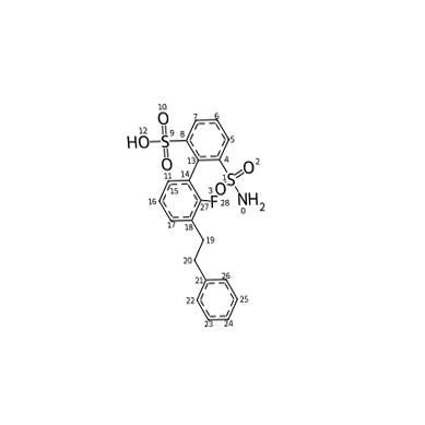 NS(=O)(=O)c1cccc(S(=O)(=O)O)c1-c1cccc(CCc2ccccc2)c1F